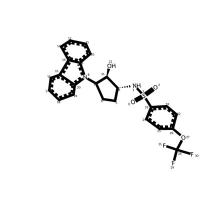 O=S(=O)(N[C@@H]1CCC(n2c3ccccc3c3ccccc32)[C@H]1O)c1ccc(OC(F)(F)F)cc1